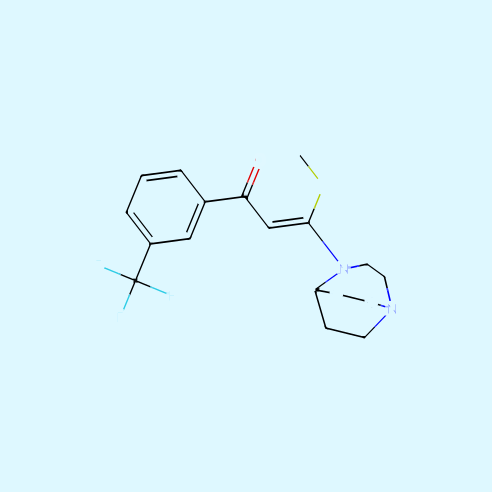 CSC(=CC(=O)c1cccc(C(F)(F)F)c1)N1CCN2CCC1CC2